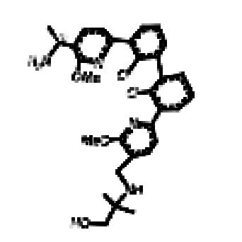 COc1nc(-c2cccc(-c3cccc(-c4ccc([C@H](C)N)c(OC)n4)c3Cl)c2Cl)ccc1CNC(C)(C)CO